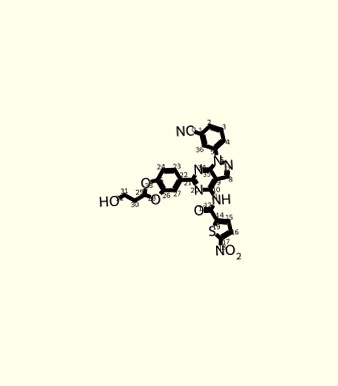 N#Cc1cccc(-n2ncc3c(NC(=O)c4ccc([N+](=O)[O-])s4)nc(-c4ccc5c(c4)OC(CCO)O5)nc32)c1